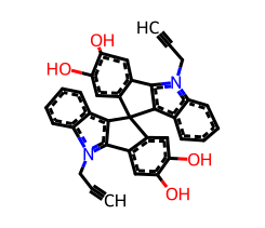 C#CCn1c2c(c3ccccc31)C1(c3cc(O)c(O)cc3-2)c2cc(O)c(O)cc2-c2c1c1ccccc1n2CC#C